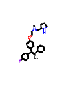 CC/C(=C(\c1ccc(I)cc1)c1ccc(OCCN(C)CC2CCCN2)cc1)c1ccccc1